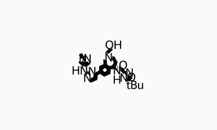 Cn1cc(Nc2nccc(-c3ccc4c(c3)CN(CCO)CC[C@H]4NC(=O)c3noc(C(C)(C)C)n3)n2)cn1